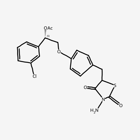 CC(=O)O[C@H](COc1ccc(CC2SC(=O)N(N)C2=O)cc1)c1cccc(Cl)c1